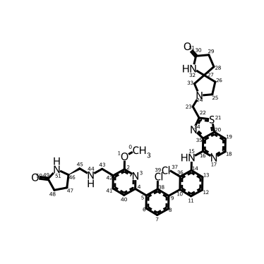 COc1nc(-c2cccc(-c3cccc(Nc4nccc5sc(CN6CCC7(CCC(=O)N7)C6)nc45)c3Cl)c2Cl)ccc1CNC[C@H]1CCC(=O)N1